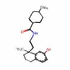 COC1CCC(C(=O)NCCC2(C(=O)O)CCCc3ccc(O)cc32)CC1